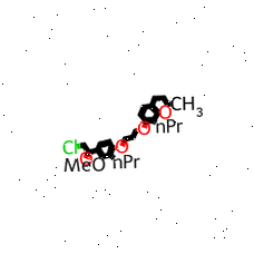 CCCc1c(OCCCOc2ccc(C(=O)CCl)c(OC)c2CCC)ccc2c1OC(C)CC2